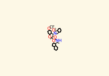 CC(NC(=O)O[C@@H]1[C@@H](N2Cc3ccccc3C2=O)c2cc(OC(F)(F)F)ccc2OC1(C)C)c1cccc2ccccc12